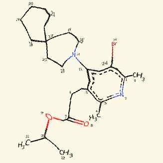 Cc1nc(C)c(CC(=O)OC(C)C)c(N2CCC3(CCCC3)CC2)c1Br